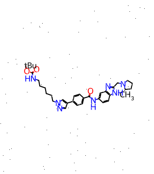 C[C@H]1CCCN1Cc1nc2cc(NC(=O)c3ccc(-c4cnn(CCCCCCNC(=O)OC(C)(C)C)c4)cc3)ccc2[nH]1